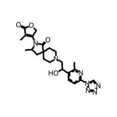 CC1=C(N2C(=O)C3(CCN(CC(O)c4ccc(-n5cnnn5)nc4C)CC3)CC2C)COC1=O